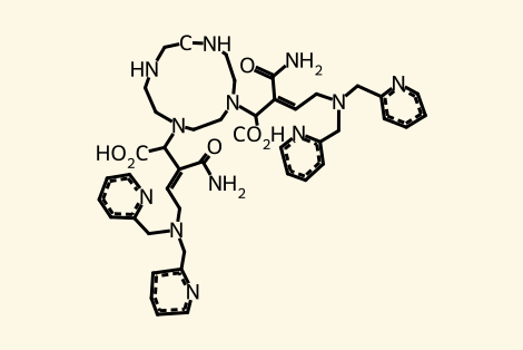 NC(=O)C(=CCN(Cc1ccccn1)Cc1ccccn1)C(C(=O)O)N1CCNCCNCCN(C(C(=O)O)C(=CCN(Cc2ccccn2)Cc2ccccn2)C(N)=O)CC1